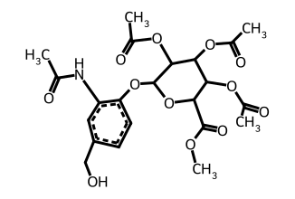 COC(=O)C1OC(Oc2ccc(CO)cc2NC(C)=O)C(OC(C)=O)C(OC(C)=O)C1OC(C)=O